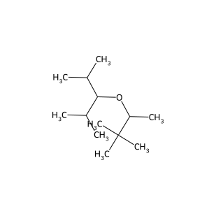 CC(C)C(OC(C)C(C)(C)C)C(C)C